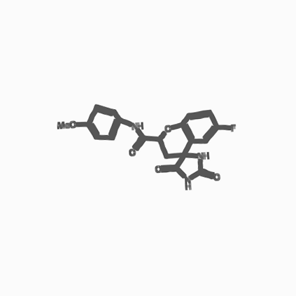 COc1ccc(NC(=O)C2CC3(NC(=O)NC3=O)c3cc(F)ccc3O2)cc1